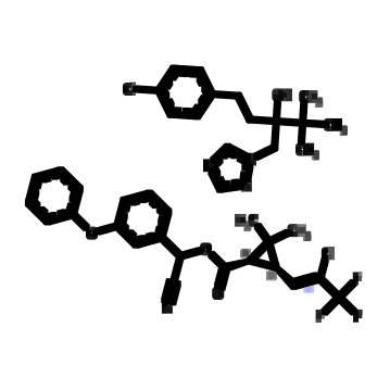 CC(C)(C)C(O)(CCc1ccc(Cl)cc1)Cn1cncn1.CC1(C)[C@H](C(=O)OC(C#N)c2cccc(Oc3ccccc3)c2)[C@@H]1/C=C(\Cl)C(F)(F)F